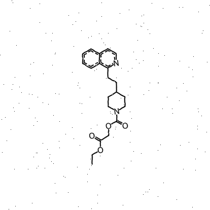 CCOC(=O)COC(=O)N1CCC(CCc2nccc3ccccc23)CC1